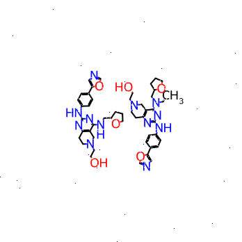 CCN(CC1CCCO1)c1nc(Nc2ccc(-c3cnco3)cc2)nc2c1CN(CCO)CC2.OCCN1CCc2nc(Nc3ccc(-c4cnco4)cc3)nc(NCC3CCCO3)c2C1